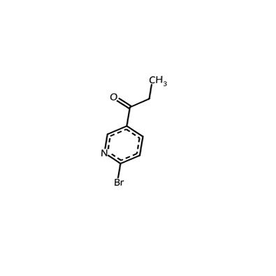 CCC(=O)c1ccc(Br)nc1